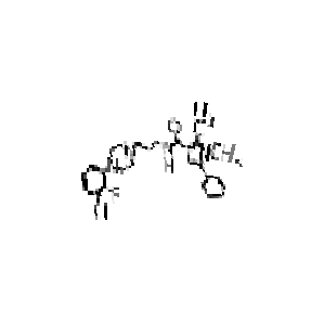 Cc1c(C(=O)NCCCN2CCN(c3cccc(Cl)c3F)CC2)cc(-c2ccccc2)n1C